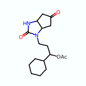 CC(=O)OC(CCN1C(=O)NC2CC(=O)CC21)C1CCCCC1